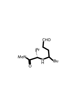 CCC(C)C(CCC=O)N[C@H](C(=O)NC)C(C)C